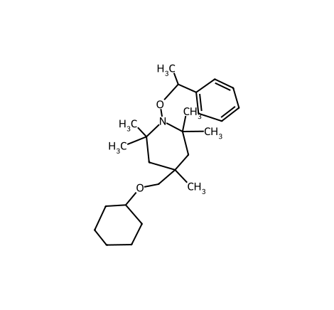 CC(ON1C(C)(C)CC(C)(COC2CCCCC2)CC1(C)C)c1ccccc1